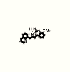 COc1cccc2c1nc(N)n1nc(Cc3cccc4cccnc34)cc21